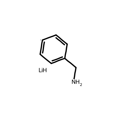 NCc1cc[c]cc1.[LiH]